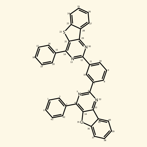 c1ccc(-c2nc(-c3cccc(-c4nc(-c5ccccc5)c5sc6ccccc6c5n4)c3)nc3c2oc2ccccc23)cc1